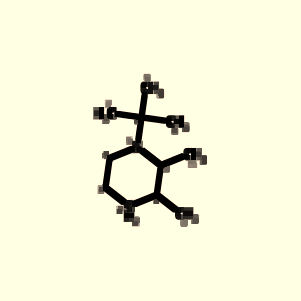 CC1[SiH2]CCN(C(C)(C)C)C1C